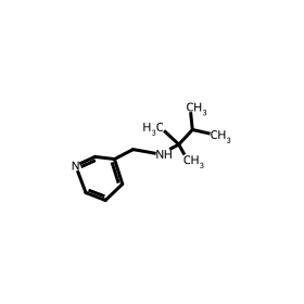 CC(C)C(C)(C)NCc1cccnc1